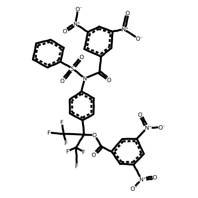 O=C(OC(c1ccc(N(C(=O)c2cc([N+](=O)[O-])cc([N+](=O)[O-])c2)S(=O)(=O)c2ccccc2)cc1)(C(F)(F)F)C(F)(F)F)c1cc([N+](=O)[O-])cc([N+](=O)[O-])c1